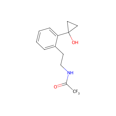 O=C(NCCc1ccccc1C1(O)CC1)C(F)(F)F